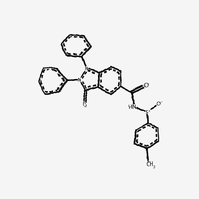 Cc1ccc([S+]([O-])NC(=O)c2ccc3c(c2)c(=O)n(-c2ccccc2)n3-c2ccccc2)cc1